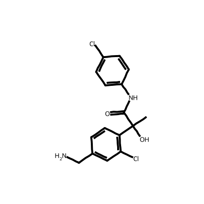 CC(O)(C(=O)Nc1ccc(Cl)cc1)c1ccc(CN)cc1Cl